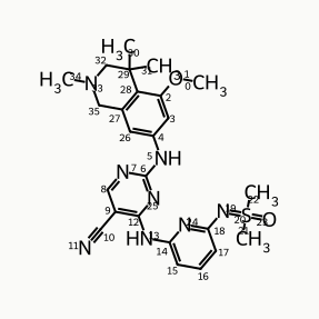 COc1cc(Nc2ncc(C#N)c(Nc3cccc(N=S(C)(C)=O)n3)n2)cc2c1C(C)(C)CN(C)C2